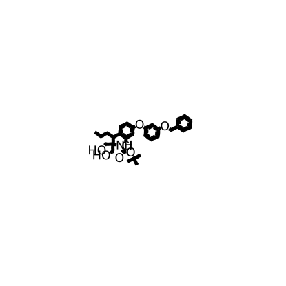 CCCC(c1ccc(Oc2cccc(OCc3ccccc3)c2)cc1Cl)C(CO)(CO)NC(=O)OC(C)(C)C